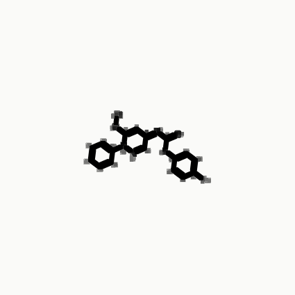 CCOc1cc(=NC(=O)Sc2ccc(F)cc2)cnn1-c1ccccc1